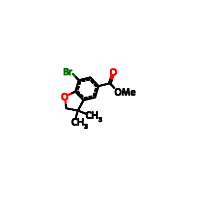 COC(=O)c1cc(Br)c2c(c1)C(C)(C)CO2